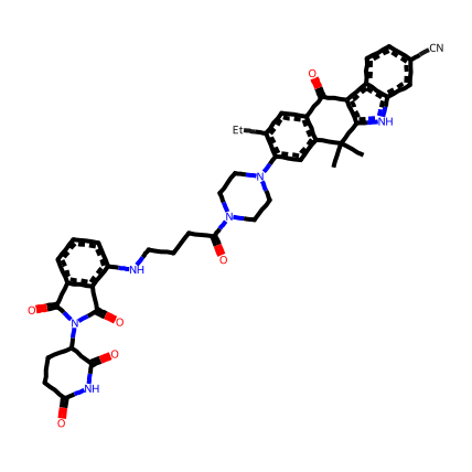 CCc1cc2c(cc1N1CCN(C(=O)CCCNc3cccc4c3C(=O)N(C3CCC(=O)NC3=O)C4=O)CC1)C(C)(C)c1[nH]c3cc(C#N)ccc3c1C2=O